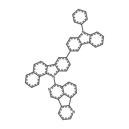 c1ccc(-n2c3ccccc3c3cc(-c4ccc5c(c4)c4ccc6ccccc6c4n5-c4ncc5c6c(cccc46)-c4ncccc4-5)ccc32)cc1